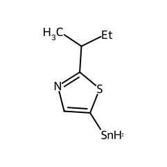 CCC(C)c1nc[c]([SnH])s1